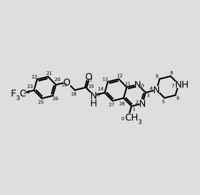 Cc1nc(N2CCNCC2)nc2ccc(NC(=O)COc3ccc(C(F)(F)F)cc3)cc12